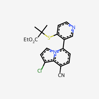 CCOC(=O)C(C)(C)Sc1ccncc1-c1ccc(C#N)c2c(Cl)ccn12